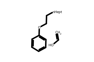 C=CO.CCCCCCCCCOc1ccccc1